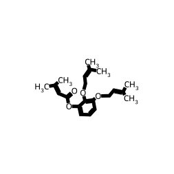 CC(C)=CCOc1cccc(OC(=O)C=C(C)C)c1OCC=C(C)C